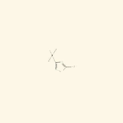 CC(C)(O)C1=CBC(N)=N1